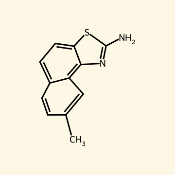 Cc1ccc2ccc3sc(N)nc3c2c1